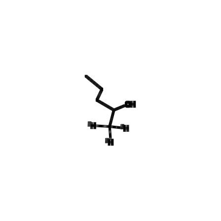 [2H]C([2H])([2H])C(O)CCC